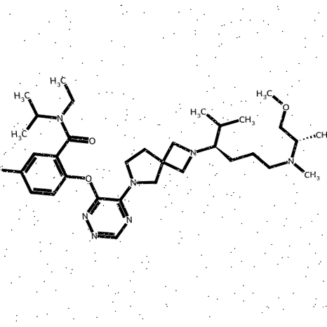 CCN(C(=O)c1cc(F)ccc1Oc1nncnc1N1CCC2(C1)CN([C@H](CCCN(C)[C@@H](C)COC)C(C)C)C2)C(C)C